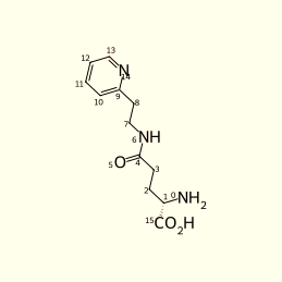 N[C@@H](CCC(=O)NCCc1ccccn1)C(=O)O